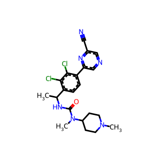 CC(NC(=O)N(C)C1CCN(C)CC1)c1ccc(-c2cncc(C#N)n2)c(Cl)c1Cl